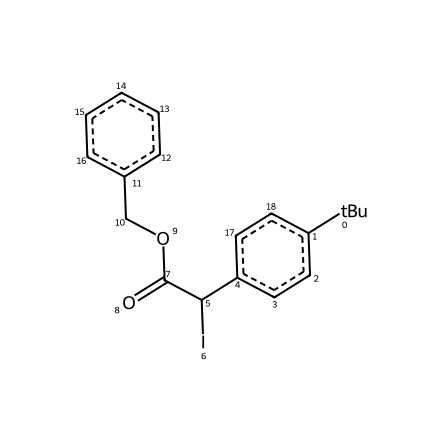 CC(C)(C)c1ccc(C(I)C(=O)OCc2ccccc2)cc1